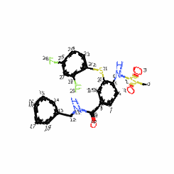 CS(=O)(=O)Nc1ccc(C(=O)NCc2ccccc2)cc1Sc1ccc(F)cc1F